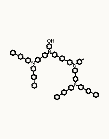 Cc1ccc(N(c2ccc(-c3ccc(-c4ccc(N(c5ccc(O)cc5)c5ccc(-c6ccc(N(c7ccc(-c8ccc(-c9ccccc9)cc8)cc7)c7ccc(-c8ccc(-c9ccccc9)cc8)cc7)cc6)cc5)cc4)cc3)cc2)c2ccc(-c3ccc(N(c4ccc(-c5ccc(-c6ccccc6)cc5)cc4)c4ccc(-c5ccc(-c6ccccc6)cc5)cc4)cc3)cc2)cc1